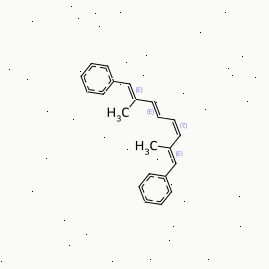 CC(/C=C\C=C\C(C)=C\c1ccccc1)=C\c1ccccc1